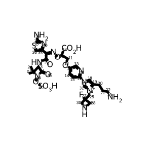 CC1(C)[C@H](NC(=O)/C(=N\OC(COc2ccc(-n3cc(CCCN)[n+](CC4(F)CNC4)c3)nc2)C(=O)O)c2csc(N)n2)C(=O)N1OS(=O)(=O)O